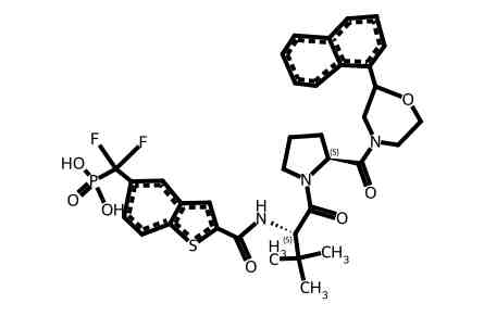 CC(C)(C)[C@H](NC(=O)c1cc2cc(C(F)(F)P(=O)(O)O)ccc2s1)C(=O)N1CCC[C@H]1C(=O)N1CCOC(c2cccc3ccccc23)C1